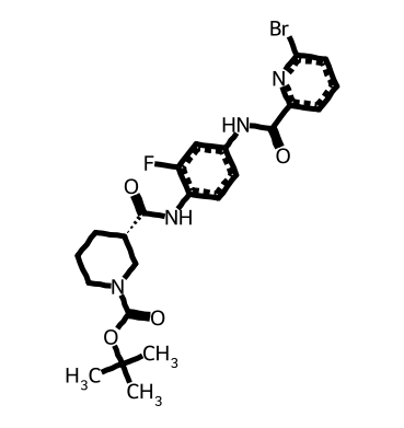 CC(C)(C)OC(=O)N1CCC[C@H](C(=O)Nc2ccc(NC(=O)c3cccc(Br)n3)cc2F)C1